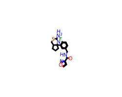 NC1=NC2(c3cc(CNC(=O)c4ccon4)ccc3F)CCCC2CS1